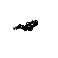 CC(C)C[C@@H](C(=O)Nc1ccn(C[C@@H](O)C[C@@H](O)CC(=O)O)n1)N1CC(Oc2ccccc2Cl)=CC1=O.[CaH2]